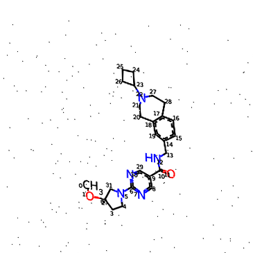 CO[C@@H]1CCN(c2ncc(C(=O)NCc3ccc4c(c3)CCN(C3CCC3)CC4)cn2)C1